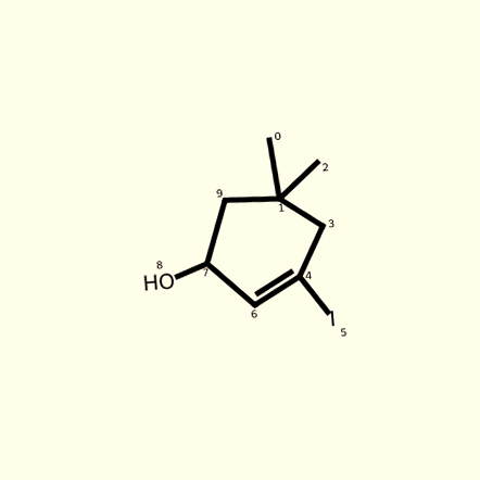 CC1(C)CC(I)=CC(O)C1